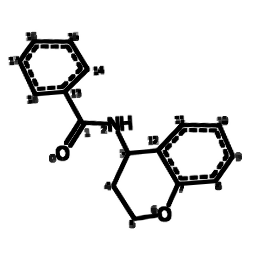 O=C(NC1CCOc2ccccc21)c1ccccc1